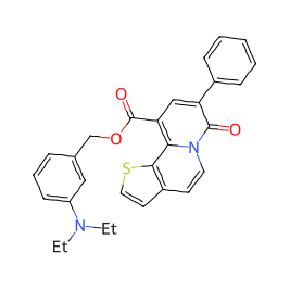 CCN(CC)c1cccc(COC(=O)c2cc(-c3ccccc3)c(=O)n3ccc4ccsc4c23)c1